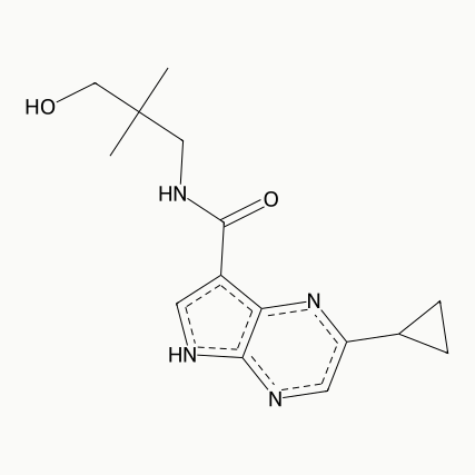 CC(C)(CO)CNC(=O)c1c[nH]c2ncc(C3CC3)nc12